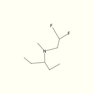 CCC(CC)N(C)CC(F)F